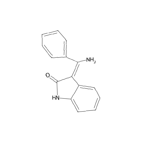 N/C(=C1/C(=O)Nc2ccccc21)c1ccccc1